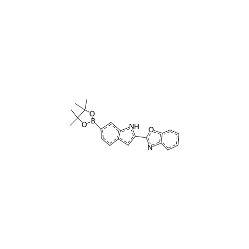 CC1(C)OB(c2ccc3cc(-c4nc5ccccc5o4)[nH]c3c2)OC1(C)C